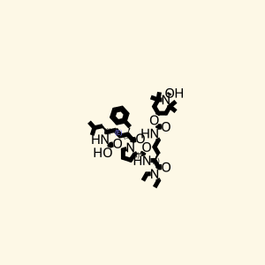 CCN(CC)C(=O)[C@H](CCCNC(=O)OC1CC(C)(C)N(O)C(C)(C)C1)NC(=O)[C@@H]1CCCN1C(=O)[C@H](/C=C/[C@H](CC(C)C)NC(=O)O)Cc1ccccc1